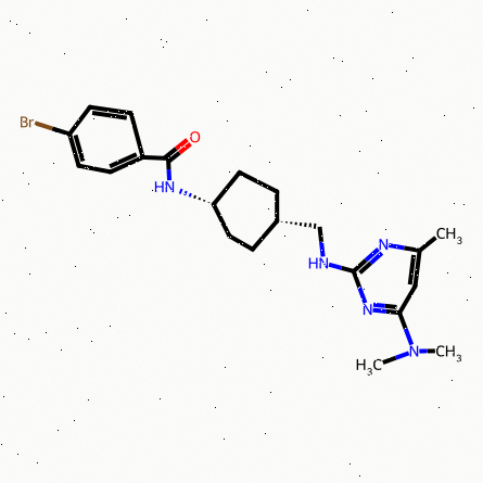 Cc1cc(N(C)C)nc(NC[C@H]2CC[C@@H](NC(=O)c3ccc(Br)cc3)CC2)n1